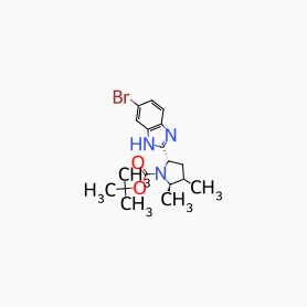 CC1C[C@@H](c2nc3ccc(Br)cc3[nH]2)N(C(=O)OC(C)(C)C)[C@@H]1C